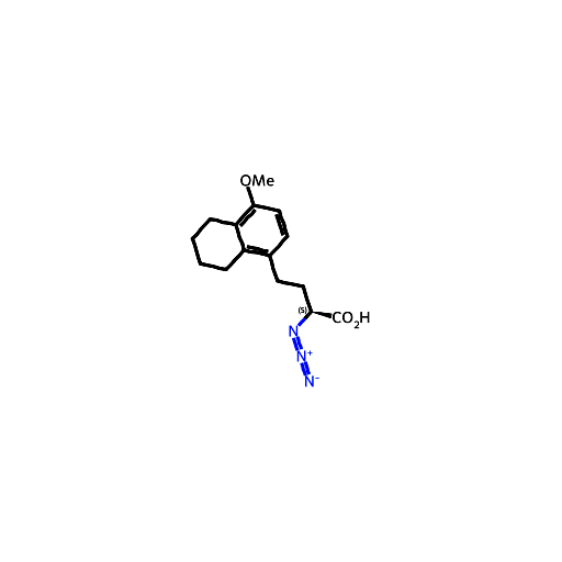 COc1ccc(CC[C@H](N=[N+]=[N-])C(=O)O)c2c1CCCC2